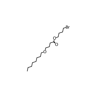 CCCCCCCCOCCCC(=O)OCCCCBr